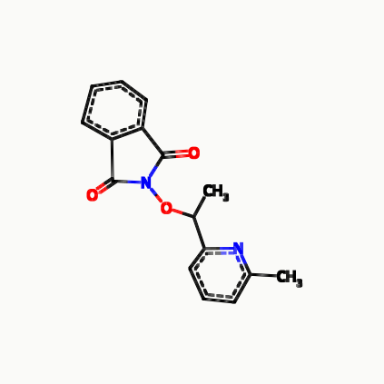 Cc1cccc(C(C)ON2C(=O)c3ccccc3C2=O)n1